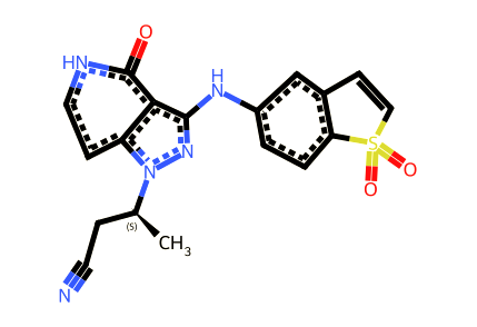 C[C@@H](CC#N)n1nc(Nc2ccc3c(c2)C=CS3(=O)=O)c2c(=O)[nH]ccc21